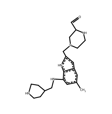 Cc1cc(NCC2CCNCC2)c2[nH]c(CN3CCNC(C=O)C3)cc2c1